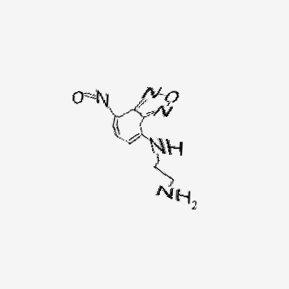 NCCNc1ccc(N=O)c2nonc12